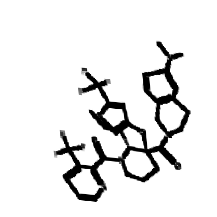 CCC[C@H]1N(C(=O)c2ncccc2C(F)(F)F)CCC[C@@]1(Oc1csc(C(F)(F)F)c1)C(=O)N1CCc2cc(N(C)C)ccc2C1